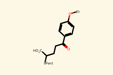 CCCCCC(CCC(=O)c1ccc(OCC)cc1)C(=O)O